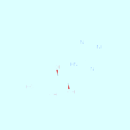 OC[C@@H](O)[C@@H](O)[C@H](O)c1cnc(-c2ncc[nH]2)[nH]1